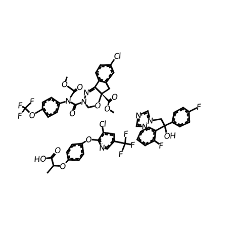 CC(Oc1ccc(Oc2ncc(C(F)(F)F)cc2Cl)cc1)C(=O)O.COC(=O)N(C(=O)N1CO[C@@]2(C(=O)OC)Cc3cc(Cl)ccc3C2=N1)c1ccc(OC(F)(F)F)cc1.OC(Cn1cncn1)(c1ccc(F)cc1)c1ccccc1F